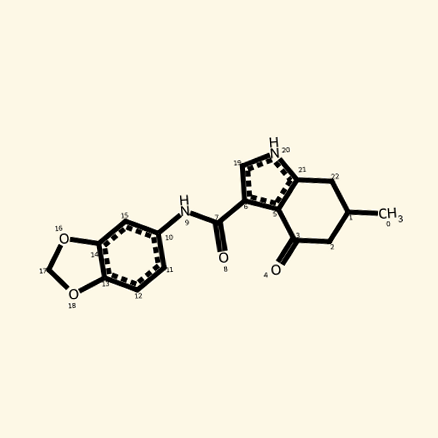 CC1CC(=O)c2c(C(=O)Nc3ccc4c(c3)OCO4)c[nH]c2C1